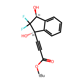 CC(C)(C)OC(=O)C#C[C@]1(O)c2ccccc2[C@H](O)C1(F)F